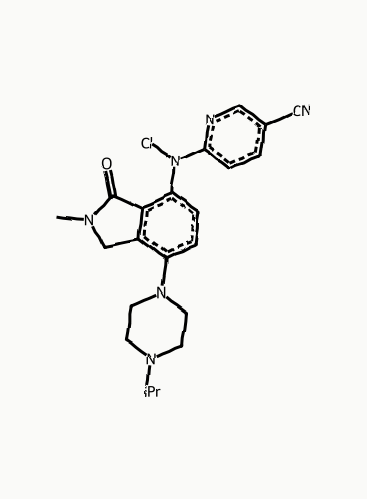 CC(C)N1CCN(c2ccc(N(Cl)c3ccc(C#N)cn3)c3c2CN(C)C3=O)CC1